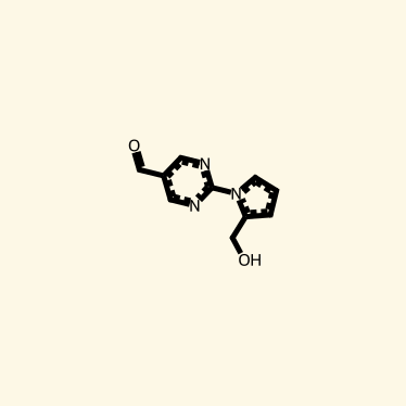 O=Cc1cnc(-n2cccc2CO)nc1